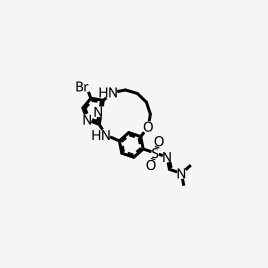 CN(C)/C=N/S(=O)(=O)c1ccc2cc1OCCCCNc1nc(ncc1Br)N2